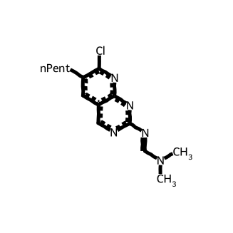 CCCCCc1cc2cnc(N=CN(C)C)nc2nc1Cl